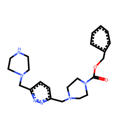 O=C(OCc1ccccc1)N1CCN(Cc2ccc(CN3CCNCC3)nn2)CC1